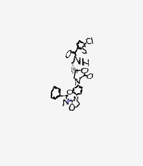 O=C(/N=C1/OCCN1c1ccc(N2C[C@H](CNC(=O)c3ccc(Cl)s3)OC2=O)cc1)c1ccccc1